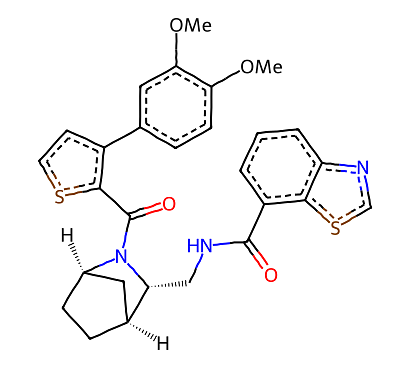 COc1ccc(-c2ccsc2C(=O)N2[C@@H]3CC[C@@H](C3)[C@H]2CNC(=O)c2cccc3ncsc23)cc1OC